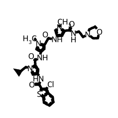 Cn1cc(NC(=O)c2cc(NC(=O)c3cc(NC(=O)c4sc5ccccc5c4Cl)cn3CC3CC3)cn2C)cc1C(=O)NCCN1CCOCC1